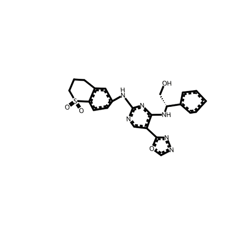 O=S1(=O)CCCc2cc(Nc3ncc(-c4nnco4)c(N[C@H](CO)c4ccccc4)n3)ccc21